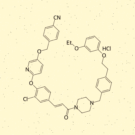 CCOc1cccc(OCCc2ccc(CN3CCN(C(=O)/C=C/c4ccc(Oc5ccc(OCc6ccc(C#N)cc6)cn5)c(Cl)c4)CC3)cc2)c1.Cl